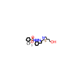 O=S(=O)(Nc1cccc2cc(C3=NCC(CCO)S3)[nH]c12)c1ccccc1C(F)(F)F